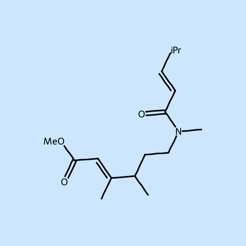 COC(=O)/C=C(\C)C(C)CCN(C)C(=O)/C=C/C(C)C